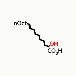 CCCCCCCC/C=C/CCCCCC[C@H](O)C(=O)O